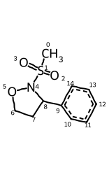 CS(=O)(=O)N1OCCC1c1ccccc1